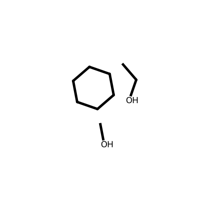 C1CCCCC1.CCO.CO